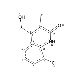 Cc1c(CO)c2cccc(Cl)c2[nH]c1=O